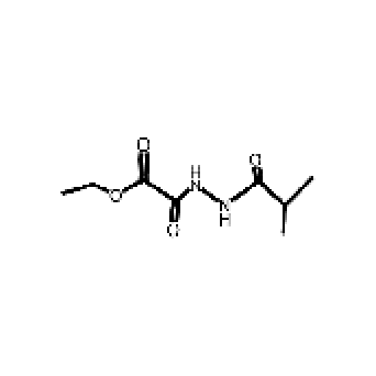 CCOC(=O)C(=O)NNC(=O)C(C)C